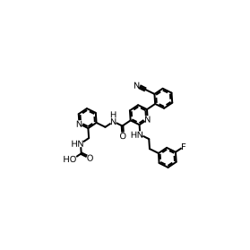 N#Cc1ccccc1-c1ccc(C(=O)NCc2cccnc2CNC(=O)O)c(NCCc2cccc(F)c2)n1